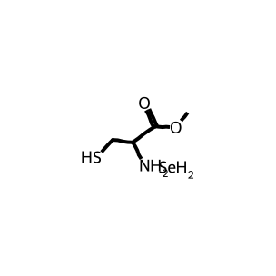 COC(=O)C(N)CS.[SeH2]